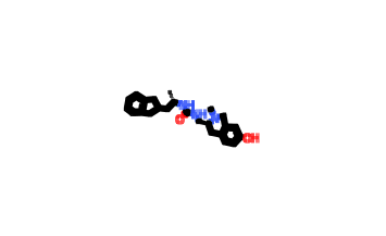 C[C@@H](CC1Cc2ccccc2C1)NC(=O)NC[C@@H]1Cc2ccc(O)cc2CN1C